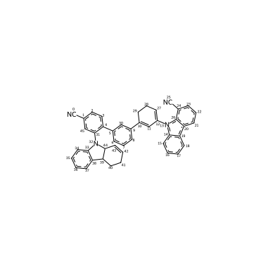 N#Cc1ccc(-c2cccc(C3=CC(n4c5ccccc5c5cccc(C#N)c54)=CCC3)c2)c(N2c3ccccc3C3CCC=CC32)c1